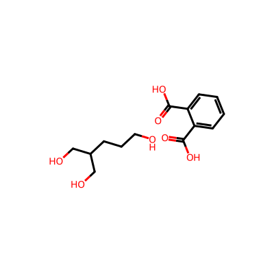 O=C(O)c1ccccc1C(=O)O.OCCCC(CO)CO